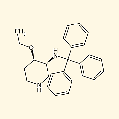 CCO[C@@H]1CCNC[C@@H]1NC(c1ccccc1)(c1ccccc1)c1ccccc1